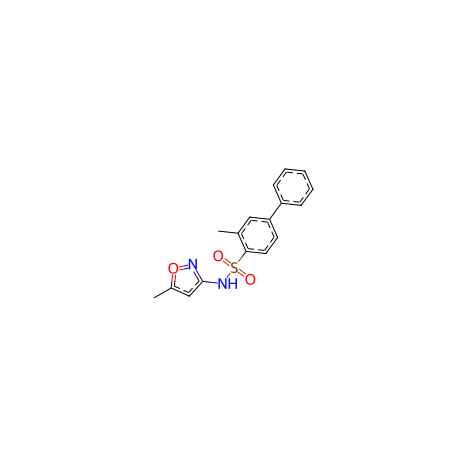 Cc1cc(NS(=O)(=O)c2ccc(-c3ccccc3)cc2C)no1